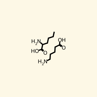 CCCCC(N)C(=O)O.NCCCCC(=O)O